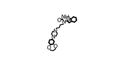 NC(=O)N(CCCCN1CCN(c2ccc3c(c2)OCCCO3)CC1)c1cc2ccccc2o1